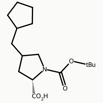 CC(C)(C)OC(=O)N1CC(CC2CCCC2)C[C@H]1C(=O)O